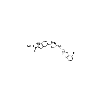 COC(=O)c1cc2cc(-c3ccc(NCC[C@H](F)Cc4ncccc4F)nn3)ccc2[nH]1